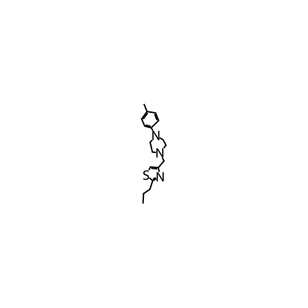 CCCc1nc(CN2CCN(c3ccc(C)cc3)CC2)cs1